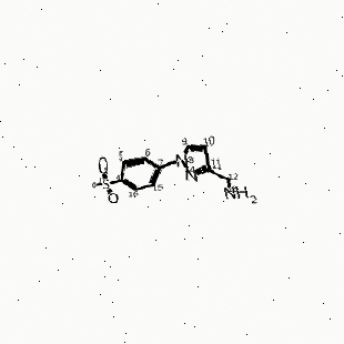 CS(=O)(=O)c1ccc(-n2ccc(CN)n2)cc1